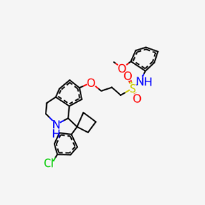 COc1ccccc1NS(=O)(=O)CCCOc1ccc2c(c1)C(C1(c3ccc(Cl)cc3)CCC1)NCC2